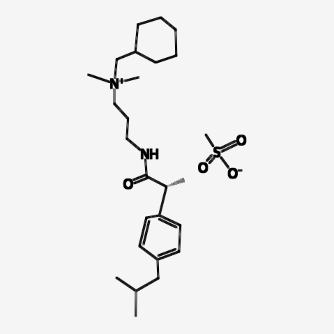 CC(C)Cc1ccc([C@@H](C)C(=O)NCCC[N+](C)(C)CC2CCCCC2)cc1.CS(=O)(=O)[O-]